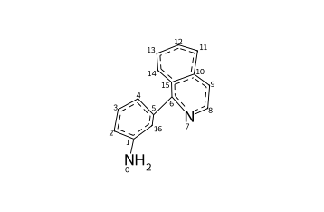 Nc1cccc(-c2nccc3ccccc23)c1